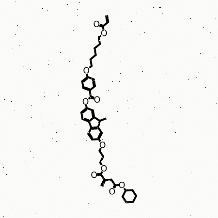 C=CC(=O)OCCCCCCOc1ccc(C(=O)Oc2ccc3c(c2)C(C)c2cc(OCCCOC(=O)C(=C)CC(=O)OC4CCCCC4)ccc2-3)cc1